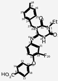 CCn1c(=O)[nH]/c(=N\c2ccc(Oc3ccc(C(=O)O)cc3)c(F)c2)n(Cc2ccc(C)cc2)c1=O